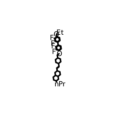 CCCC1CCC2CC(/C=C/C3CCC(COc4ccc(-c5ccc(OCC)c(F)c5F)c(F)c4F)CC3)CCC2C1